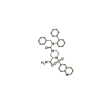 NC(=O)C1CN(C(=O)N(Cc2ccccc2)c2ccccc2-c2ccccc2)CCN1S(=O)(=O)c1ccc2ncccc2c1